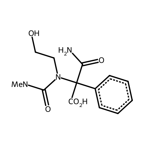 CNC(=O)N(CCO)C(C(N)=O)(C(=O)O)c1ccccc1